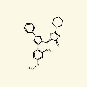 COc1ccc(-c2nn(-c3ccccc3)cc2/C=C2\SC(N3CCCCC3)=NC2=O)c(C)c1